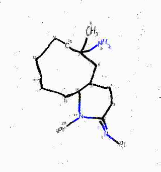 CC(C)/N=C1\CCC2CC(C)(N)CCCCCCC2N1C(C)C